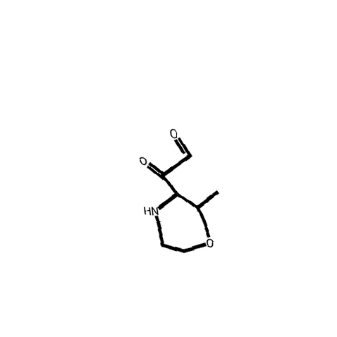 CC1OCCNC1C(=O)C=O